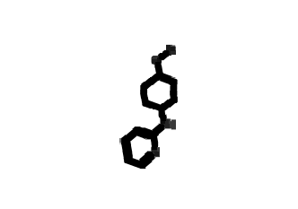 CCOC1CCC(Nc2c[c]ccn2)CC1